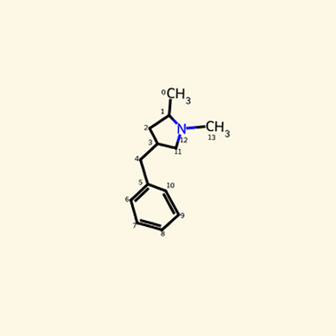 CC1CC(Cc2ccccc2)CN1C